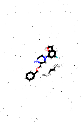 Fc1cc(N2CCN[C@H](COCc3ccccc3)C2)c2occc2c1.O=C(O)/C=C/C(=O)O